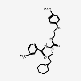 COc1ccc(NCCNC(=O)[C@H](CCCC2CCCCC2)NC(=O)c2cccc(C)c2)cc1